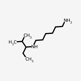 CCC(NCCCCCCN)C(C)C